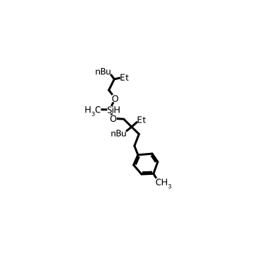 CCCCC(CC)CO[SiH](C)OCC(CC)(CCCC)CCc1ccc(C)cc1